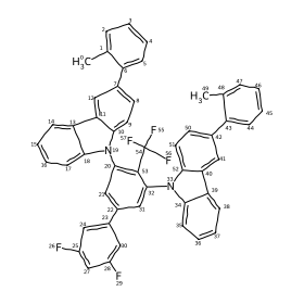 Cc1ccccc1-c1ccc2c(c1)c1ccccc1n2-c1cc(-c2cc(F)cc(F)c2)cc(-n2c3ccccc3c3cc(-c4ccccc4C)ccc32)c1C(F)(F)F